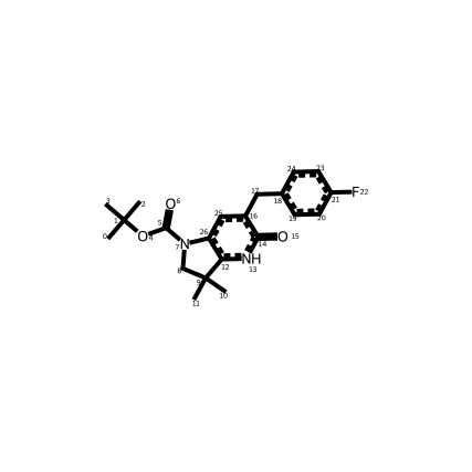 CC(C)(C)OC(=O)N1CC(C)(C)c2[nH]c(=O)c(Cc3ccc(F)cc3)cc21